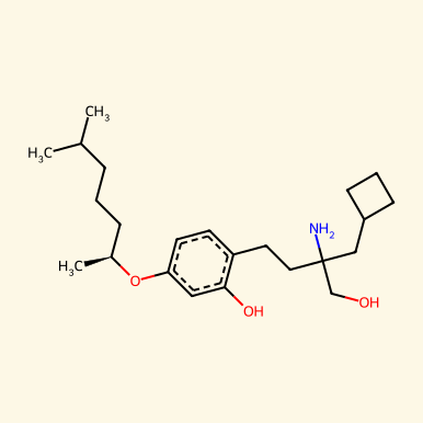 CC(C)CCC[C@H](C)Oc1ccc(CCC(N)(CO)CC2CCC2)c(O)c1